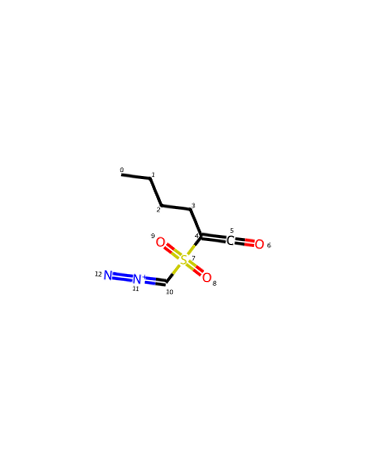 CCCCC(=C=O)S(=O)(=O)C=[N+]=[N-]